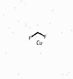 FCF.[Cu]